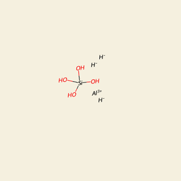 O[Si](O)(O)O.[Al+3].[H-].[H-].[H-]